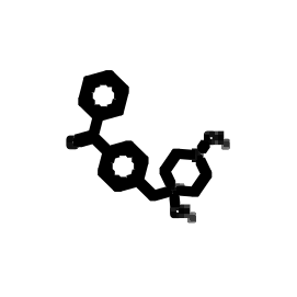 CN1CC[N+](C)(Cc2ccc(C(=O)c3ccccc3)cc2)CC1